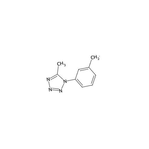 [CH2]c1cccc(-n2nnnc2C)c1